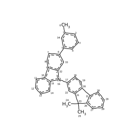 Cc1cccc(-c2ccc3c4ccccc4n(-c4ccc5c(c4)C(C)(C)c4ccccc4-5)c3c2)c1